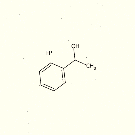 CC(O)c1cc[c]cc1.[H+]